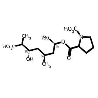 CC(C(=O)O)[C@@H](O)C[C@H](C)C[C@H](OC(=O)C1CCCN1C(=O)O)C(C)(C)C